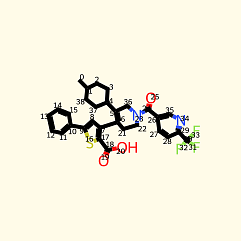 CC1CCC(C2=C(c3cc(-c4ccccc4)sc3C(=O)O)CCN(C(=O)c3ccc(C(F)(F)F)nc3)C2)CC1